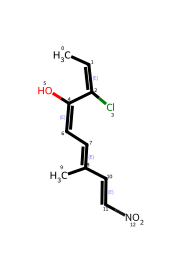 C\C=C(Cl)/C(O)=C\C=C(C)\C=C\[N+](=O)[O-]